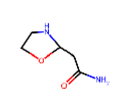 NC(=O)CC1NCCO1